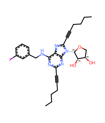 CCCCC#Cc1nc(NCc2cccc(I)c2)c2nc(C#CCCCC)n([C@@H]3OC[C@@H](O)[C@H]3O)c2n1